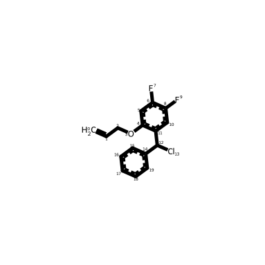 C=CCOc1cc(F)c(F)cc1C(Cl)c1ccccc1